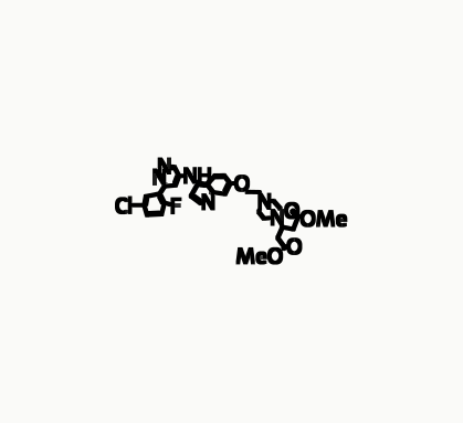 COC(=O)CC(CC(=O)OC)N1CCN(CCOc2ccc3c(Nc4cnnc(-c5cc(Cl)ccc5F)c4)ccnc3c2)CC1